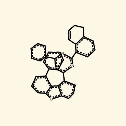 C1=Cc2c(cccc2-c2nc(-c3ccccc3)nc(-c3cccc4oc5cccc(-c6ccccc6)c5c34)n2)CC1